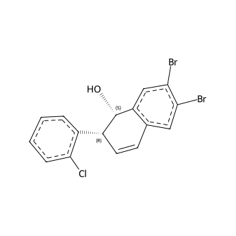 O[C@@H]1c2cc(Br)c(Br)cc2C=C[C@@H]1c1ccccc1Cl